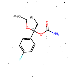 COCO[C@](CC(C)C)(OC(N)=O)c1ccc(F)cc1